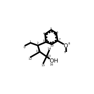 CCC(c1cccc(OC)c1)C(C)C(C)(C)O